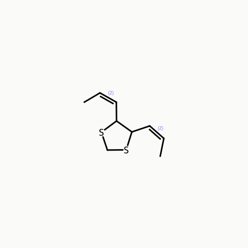 C/C=C\C1SCSC1/C=C\C